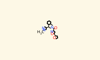 Cn1cc(C2CN(C(=O)c3cc(-c4ccco4)on3)Cc3ccccc32)cn1